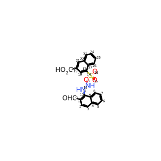 O=Cc1ccc2ccccc2c1NNOS(=O)(=O)c1cc(C(=O)O)cc2ccccc12